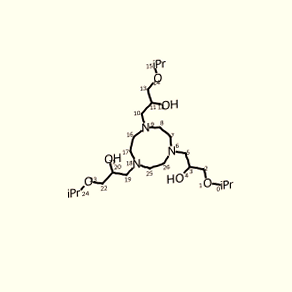 CC(C)OCC(O)CN1CCN(CC(O)COC(C)C)CCN(CC(O)COC(C)C)CC1